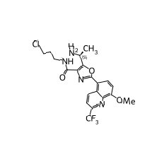 COc1ccc(-c2nc(C(=O)NCCCCl)c([C@H](C)N)o2)c2ccc(C(F)(F)F)nc12